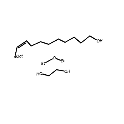 CCCCCCCC/C=C\CCCCCCCCO.CCOCC.OCCO